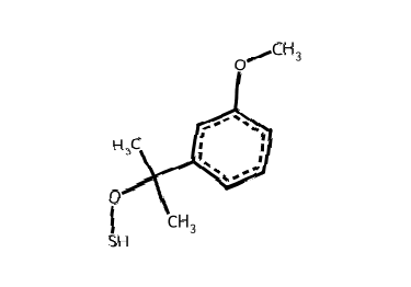 COc1cccc(C(C)(C)OS)c1